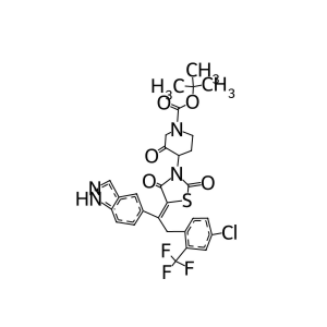 CC(C)(C)OC(=O)N1CCC(N2C(=O)SC(=C(Cc3ccc(Cl)cc3C(F)(F)F)c3ccc4[nH]ncc4c3)C2=O)C(=O)C1